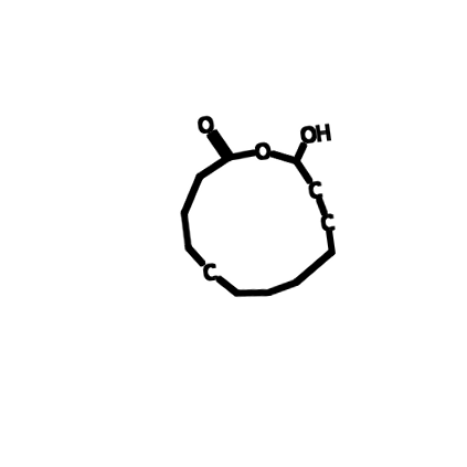 O=C1CCCCCCCCCCC(O)O1